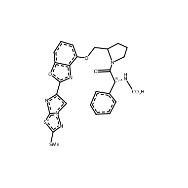 CSc1nn2cc(-c3nc4c(OCC5CCCN5C(=O)[C@H](NC(=O)O)c5ccccc5)cccc4o3)nc2s1